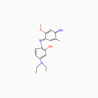 CCN(CC)c1ccc(N=C2C=C(C)C(=N)C=C2OC)c(O)c1